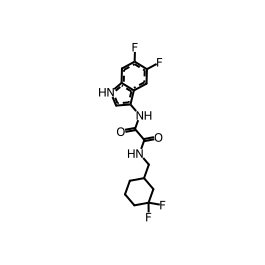 O=C(NCC1CCCC(F)(F)C1)C(=O)Nc1c[nH]c2cc(F)c(F)cc12